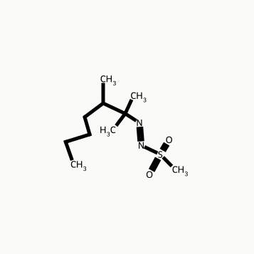 CCCCC(C)C(C)(C)N=NS(C)(=O)=O